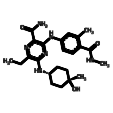 CCc1nc(C(N)=O)c(Nc2ccc(C(=O)NC)c(C)c2)nc1N[C@H]1CC[C@@](C)(O)CC1